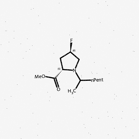 CCCCCC(C)N1C[C@H](F)C[C@H]1C(=O)OC